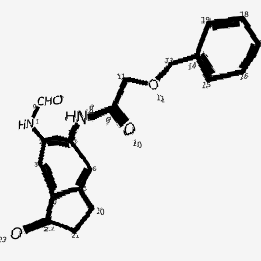 O=CNc1cc2c(cc1NC(=O)COCc1ccccc1)CCC2=O